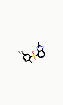 Cc1nc2c(S(=O)(=O)c3cc([N+](=O)[O-])ccc3C)cccc2[nH]1